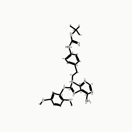 COc1ccc(OC)c(Sc2nc3c(N)ncnc3n2CCc2ccc(NC(=O)OC(C)(C)C)cc2)c1